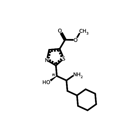 COC(=O)c1cnc([C@H](O)C(N)CC2CCCCC2)s1